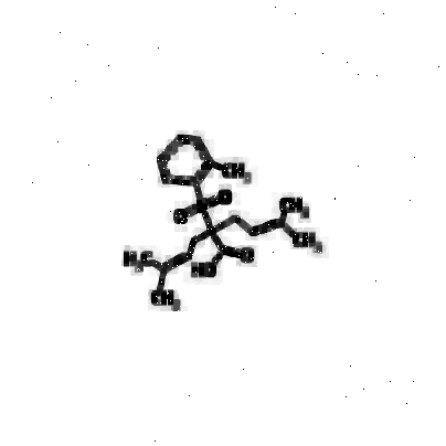 CC(C)=CCC(CC=C(C)C)(C(=O)O)S(=O)(=O)c1ccccc1C